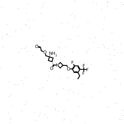 CCc1cc(OCC2CN(C(=O)[C@H]3C[C@](N)(COCC=O)C3)C2)c(F)cc1C(F)(F)F